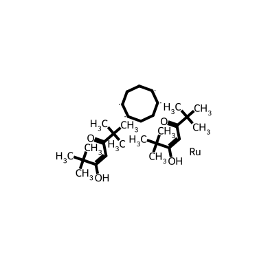 CC(C)(C)C(=O)/C=C(/O)C(C)(C)C.CC(C)(C)C(=O)/C=C(/O)C(C)(C)C.[CH]1[CH]CC[CH][CH]CC1.[Ru]